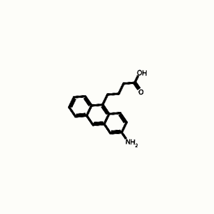 Nc1ccc2c(CCCC(=O)O)c3ccccc3cc2c1